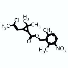 Cc1ccc([N+](=O)[O-])c(C)c1COC(=O)C1C(C=C(Cl)C(F)(F)F)C1(C)C